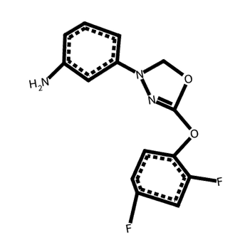 Nc1cccc(N2COC(Oc3ccc(F)cc3F)=N2)c1